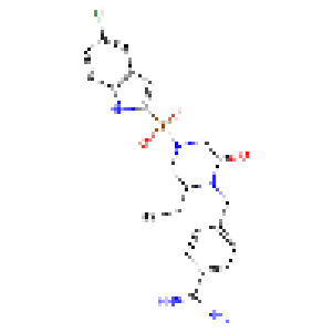 CC(C)CC1CN(S(=O)(=O)c2cc3cc(Cl)ccc3[nH]2)CC(=O)N1Cc1ccc(C(=N)N)cc1